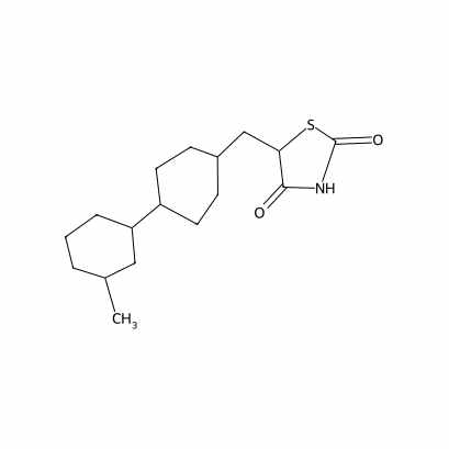 CC1CCCC(C2CCC(CC3SC(=O)NC3=O)CC2)C1